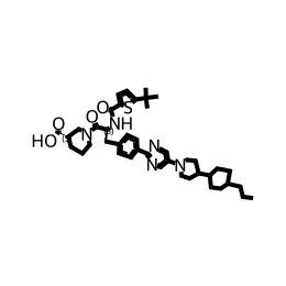 CCCC1CCC(C2CCN(c3cnc(-c4ccc(C[C@H](NC(=O)c5ccc(C(C)(C)C)s5)C(=O)N5CCC[C@H](C(=O)O)C5)cc4)nc3)CC2)CC1